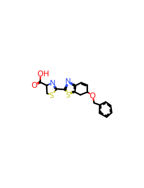 O=C(O)C1CSC(c2nc3c(s2)CC(OCc2ccccc2)C=C3)=N1